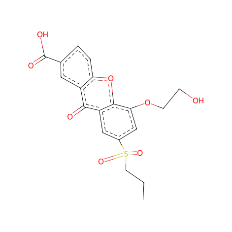 CCCS(=O)(=O)c1cc(OCCO)c2oc3ccc(C(=O)O)cc3c(=O)c2c1